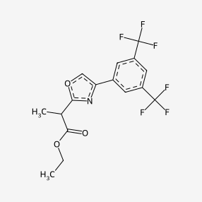 CCOC(=O)C(C)c1nc(-c2cc(C(F)(F)F)cc(C(F)(F)F)c2)co1